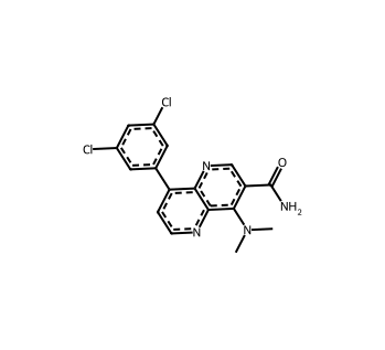 CN(C)c1c(C(N)=O)cnc2c(-c3cc(Cl)cc(Cl)c3)ccnc12